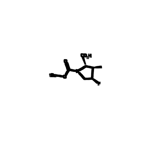 C[C@@H]1[C@@H](C(=O)O)N(C(=O)OC(C)(C)C)C[C@@H]1F